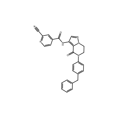 N#Cc1cc(C(=O)Nc2cnn3c2C(=O)N(c2ccc(Cc4ccccc4)cc2)CC3)ccn1